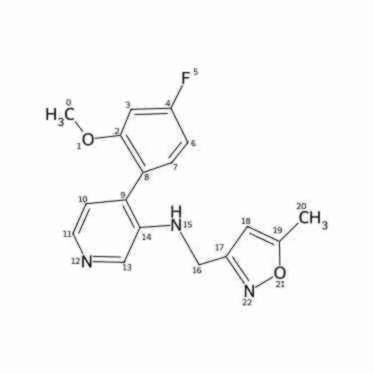 COc1cc(F)ccc1-c1ccncc1NCc1cc(C)on1